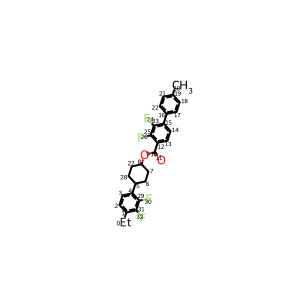 CCc1ccc(C2CCC(OC(=O)c3ccc(-c4ccc(C)cc4)c(F)c3F)CC2)c(F)c1F